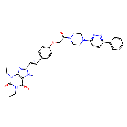 CCn1c(=O)c2c(nc(/C=C/c3ccc(OCC(=O)N4CCN(c5ccc(-c6ccccc6)nn5)CC4)cc3)n2C)n(CC)c1=O